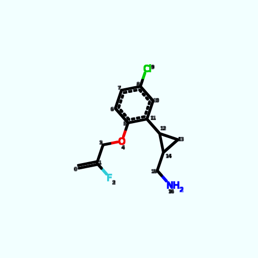 C=C(F)COc1ccc(Cl)cc1C1CC1CN